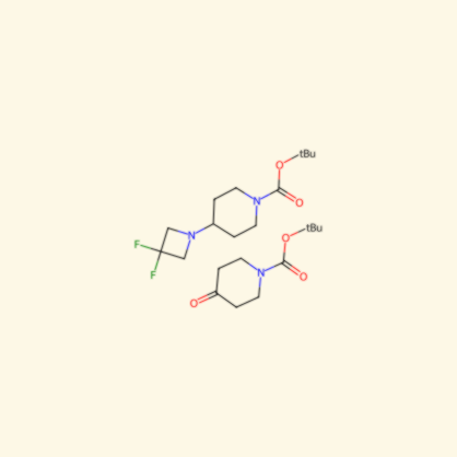 CC(C)(C)OC(=O)N1CCC(=O)CC1.CC(C)(C)OC(=O)N1CCC(N2CC(F)(F)C2)CC1